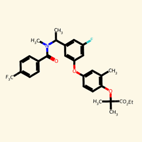 CCOC(=O)C(C)(C)Oc1ccc(Oc2cc(F)cc(C(C)N(C)C(=O)c3ccc(C(F)(F)F)cc3)c2)cc1C